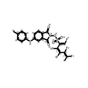 C\C(F)=C(F)/C(F)=C(F)\C(=C\F)S(=O)(=O)ON1C(=O)c2ccc(Sc3ccc(C)cc3)cc2C1=O